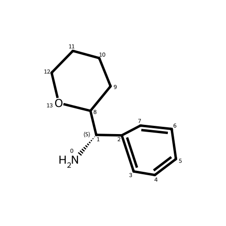 N[C@@H](c1ccccc1)C1CCCCO1